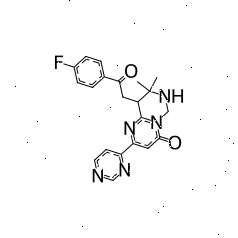 CC1(C)NCn2c(nc(-c3ccncn3)cc2=O)C1CC(=O)c1ccc(F)cc1